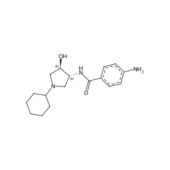 Nc1ccc(C(=O)N[C@@H]2CN(C3CCCCC3)C[C@H]2O)cc1